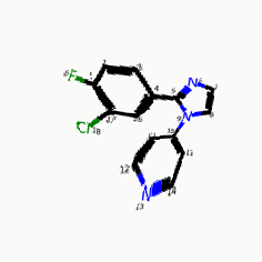 Fc1ccc(-c2nccn2-c2ccncc2)cc1Cl